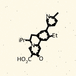 CCc1cc2c(cc1-c1ccc(C)nc1)CC(C(C)C)n1cc(C(=O)O)c(=O)cc1-2